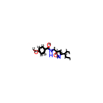 CCC(CC)c1cc(CNC(=O)c2ccc(OC)cc2)on1